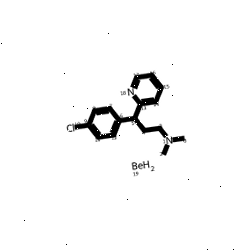 CN(C)CCC(c1ccc(Cl)cc1)c1ccccn1.[BeH2]